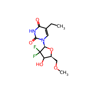 CCc1cn([C@H]2O[C@@H](COC)C(O)C2(F)F)c(=O)[nH]c1=O